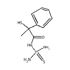 CC(S)(C(=O)NP(N)(N)=S)c1ccccc1